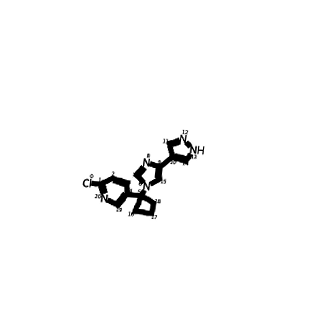 Clc1ccc(C2(n3cnc(-c4cn[nH]c4)c3)CCC2)cn1